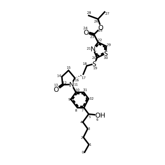 CCCCCC(O)c1ccc(N2C(=O)CC[C@@H]2CCSc2nc(C(=O)OC(C)C)cs2)cc1